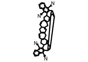 N#Cc1c2c(c(C#N)c3ccccc13)C1CC3=C4C=C1CC1=C2CC2C(=C1)CC1=CC5=C(C=CC6CC(=C(C=C6C5)C4)C=C3)CC1c1c2c(C#N)c2ccccc2c1C#N